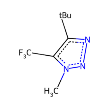 Cn1nnc(C(C)(C)C)c1C(F)(F)F